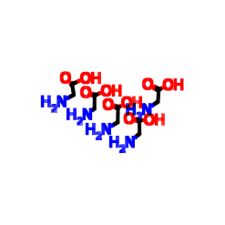 NCC(=O)O.NCC(=O)O.NCC(=O)O.NCC(=O)O.NCC(=O)O